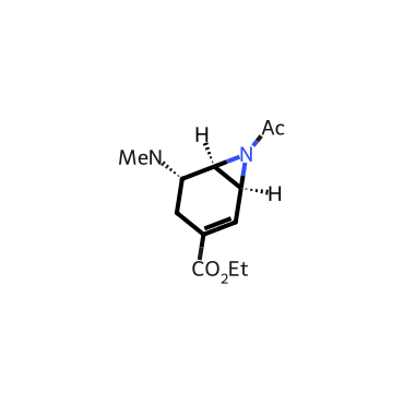 CCOC(=O)C1=C[C@H]2[C@@H]([C@@H](NC)C1)N2C(C)=O